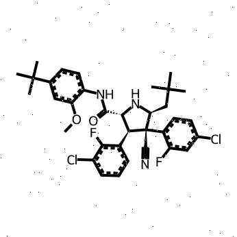 COc1cc(C(C)(C)C)ccc1NC(=O)[C@@H]1N[C@@H](CC(C)(C)C)[C@](C#N)(c2ccc(Cl)cc2F)[C@H]1c1cccc(Cl)c1F